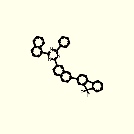 FC1(F)c2ccccc2-c2ccc(-c3ccc4ccc(-c5nc(-c6ccccc6)nc(-c6cccc7ccccc67)n5)cc4c3)cc21